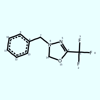 FC(F)(F)C1=NN(Cc2ccccc2)CO1